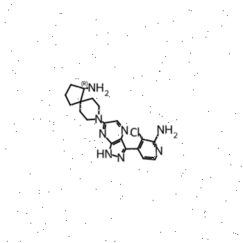 Nc1nccc(-c2n[nH]c3nc(N4CCC5(CCC[C@H]5N)CC4)cnc23)c1Cl